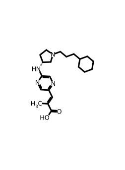 C/C(=C\c1cnc(N[C@@H]2CCN(CCCC3CCCCC3)C2)cn1)C(=O)O